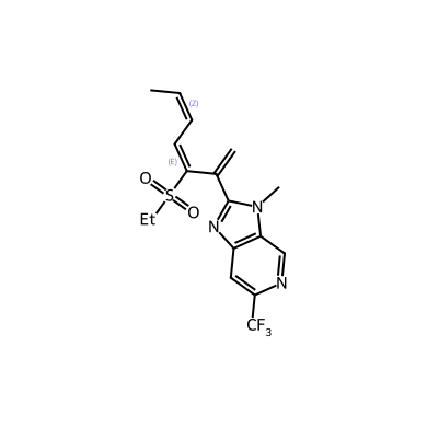 C=C(/C(=C\C=C/C)S(=O)(=O)CC)c1nc2cc(C(F)(F)F)ncc2n1C